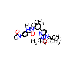 Cn1c(=O)n(CC(C)(C)C)c2ccc(C3CCC(C)(C)C(NC(=O)c4ccc(N5CCCC5=O)cc4)C3)nc21